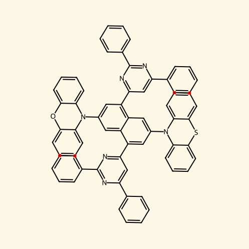 c1ccc(-c2cc(-c3cc(N4c5ccccc5Sc5ccccc54)cc4c(-c5cc(-c6ccccc6)nc(-c6ccccc6)n5)cc(N5c6ccccc6Oc6ccccc65)cc34)nc(-c3ccccc3)n2)cc1